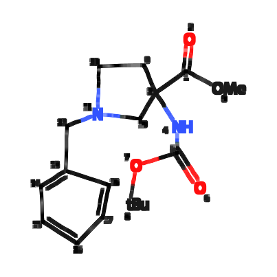 COC(=O)C1(NC(=O)OC(C)(C)C)CCN(Cc2ccccc2)C1